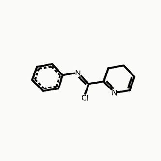 ClC(=Nc1ccccc1)C1=NC=CCC1